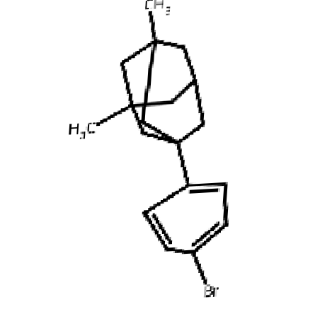 CC12CC3CC(C)(C1)CC(c1ccc(Br)cc1)(C3)C2